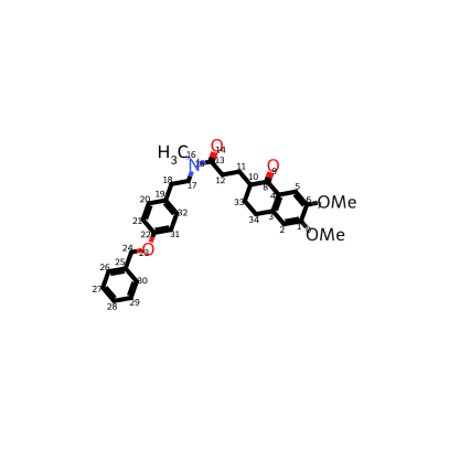 COc1cc2c(cc1OC)C(=O)C(CCC(=O)N(C)CCc1ccc(OCc3ccccc3)cc1)CC2